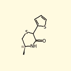 C[C@H]1CSC(c2cccs2)C(=O)N1